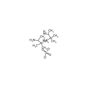 CC(N)[N+](C)(C)C.CC(N)[N+](C)(C)C.O=S(=O)([O-])[O-]